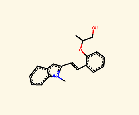 CC(CO)Oc1ccccc1C=Cc1cc2ccccc2n1C